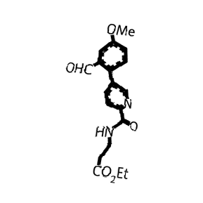 CCOC(=O)CCNC(=O)c1ccc(-c2ccc(OC)cc2C=O)cn1